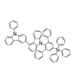 c1ccc(-c2cc([Si](c3ccccc3)(c3ccccc3)c3ccccc3)cc(-c3ccccc3)c2-n2c3ccccc3c3c(-c4ccc5c(c4)c4ccccc4n5-c4ccccc4)cccc32)cc1